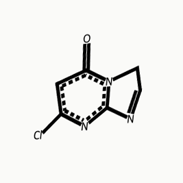 O=c1cc(Cl)nc2n1CC=N2